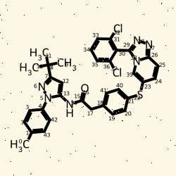 Cc1ccc(-n2nc(C(C)(C)C)cc2NC(=O)Cc2ccc(Sc3ccc4nnc(-c5c(Cl)cccc5Cl)n4c3)cc2)cc1